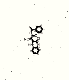 CC(OC(=O)/C(C#N)=C1/Nc2ccccc2N=C1Cl)c1ccccc1